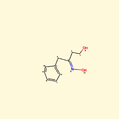 OCCC(Cc1ccccc1)=NO